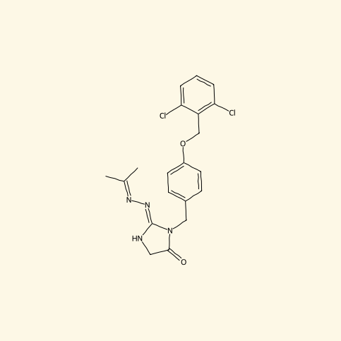 CC(C)=NN=C1NCC(=O)N1Cc1ccc(OCc2c(Cl)cccc2Cl)cc1